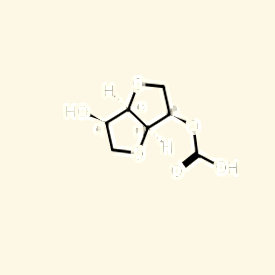 O=C(O)O[C@@H]1CO[C@H]2[C@@H]1OC[C@H]2O